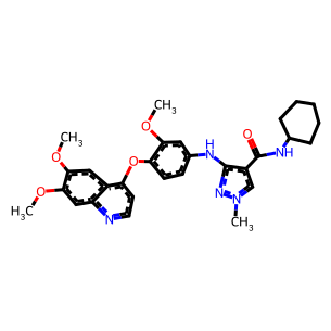 COc1cc2nccc(Oc3ccc(Nc4nn(C)cc4C(=O)NC4CCCCC4)cc3OC)c2cc1OC